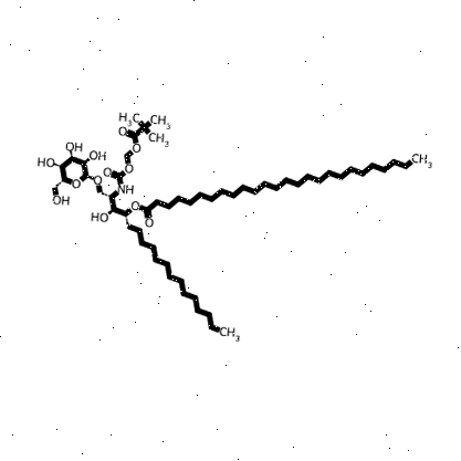 CCCCCCCCCCCCCCCCCCCCCCCCCC(=O)O[C@H](CCCCCCCCCCCCCC)[C@@H](O)[C@H](CO[C@H]1O[C@H](CO)[C@H](O)[C@H](O)[C@H]1O)NC(=O)OCOC(=O)C(C)(C)C